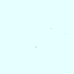 CC1CCN(c2cc(C3(NCCN4CCCC4)CCOCC3)ccc2N)CC1